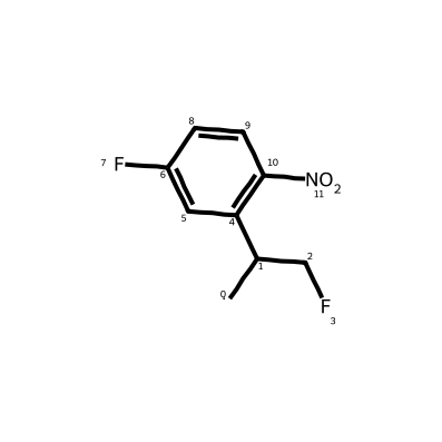 [CH2]C(CF)c1cc(F)ccc1[N+](=O)[O-]